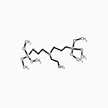 CO[Si](CCCN(CCN)CCC[Si](OC)(OC)OC)(OC)OC